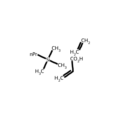 C=C.C=CC(=O)O.CCC[Si](C)(C)C